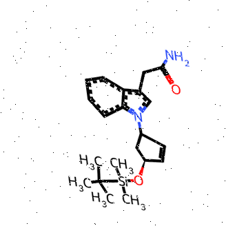 CC(C)(C)[Si](C)(C)O[C@@H]1C=CC(n2cc(CC(N)=O)c3ccccc32)C1